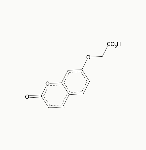 O=C(O)COc1ccc2[c]cc(=O)oc2c1